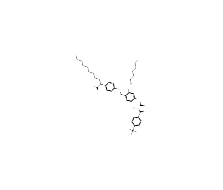 CCCCCCCCCC(C(=O)O)c1ccc(NCc2ccc(Sc3nnc(-c4ccc(C(C)(C)C)cc4)n3C)cc2OCCCCCCC)cc1